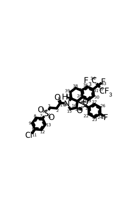 O=C(CCS(=O)(=O)c1ccc(Cl)cc1)N1CC[C@@]2(S(=O)(=O)c3ccc(F)cc3)c3ccc(C(F)(C(F)(F)F)C(F)(F)F)cc3CC[C@@H]12